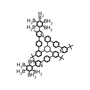 Bc1c(B)c(B)c(-c2cnc(-c3ccc(-c4cc(C(C)(C)C)ccc4C4CC(c5ccccc5-c5ccc(-c6cc(C(C)(C)C)ccn6)cc5)CC(c5ccc(C(C)(C)C)cc5-c5ccc(-c6cc(C)c(-c7c(B)c(B)c(B)c(B)c7B)cn6)cc5)C4)cc3)cc2C)c(B)c1B